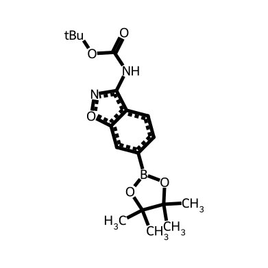 CC(C)(C)OC(=O)Nc1noc2cc(B3OC(C)(C)C(C)(C)O3)ccc12